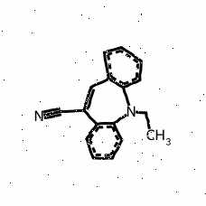 CCN1c2ccccc2C=C(C#N)c2ccccc21